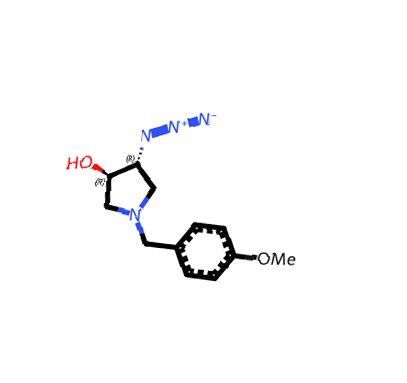 COc1ccc(CN2C[C@@H](O)[C@H](N=[N+]=[N-])C2)cc1